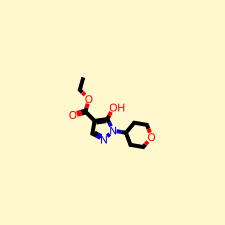 CCOC(=O)c1cnn(C2CCOCC2)c1O